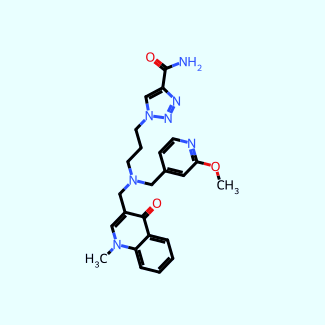 COc1cc(CN(CCCn2cc(C(N)=O)nn2)Cc2cn(C)c3ccccc3c2=O)ccn1